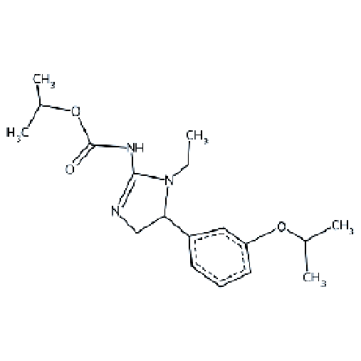 CCN1C(NC(=O)OC(C)C)=NCC1c1cccc(OC(C)C)c1